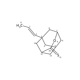 CC=CC12CC3CC(C1)OC(=S)C(C3)C2